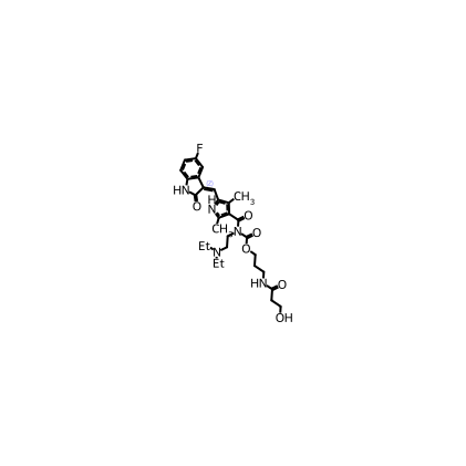 CCN(CC)CCN(C(=O)OCCCNC(=O)CCO)C(=O)c1c(C)[nH]c(/C=C2\C(=O)Nc3ccc(F)cc32)c1C